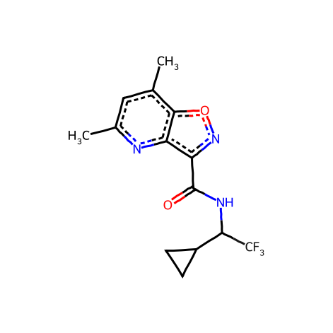 Cc1cc(C)c2onc(C(=O)NC(C3CC3)C(F)(F)F)c2n1